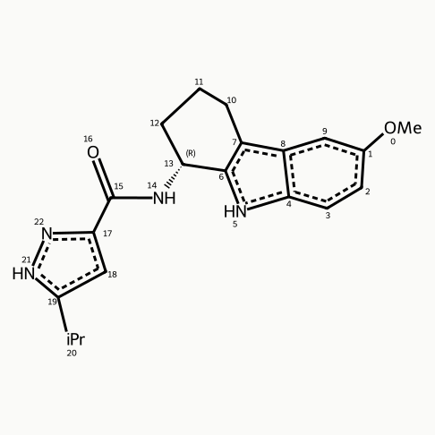 COc1ccc2[nH]c3c(c2c1)CCC[C@H]3NC(=O)c1cc(C(C)C)[nH]n1